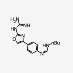 CCCCN/C=N\c1ccc(-c2coc(NC(=N)N)n2)cc1